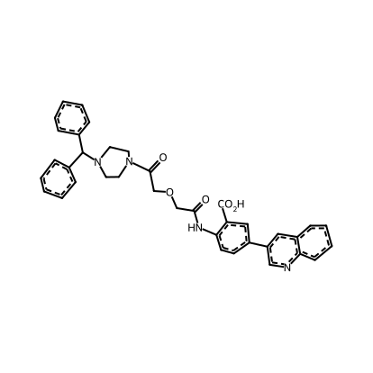 O=C(COCC(=O)N1CCN(C(c2ccccc2)c2ccccc2)CC1)Nc1ccc(-c2cnc3ccccc3c2)cc1C(=O)O